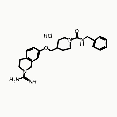 Cl.N=C(N)N1CCc2ccc(OCC3CCN(C(=O)NCc4ccccc4)CC3)cc2C1